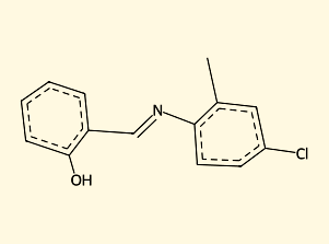 Cc1cc(Cl)ccc1N=Cc1ccccc1O